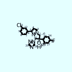 C[C@@H](n1ccc(-c2cccc(Cl)c2)n1)[C@](O)(Cn1cncn1)c1ccc(F)cc1F